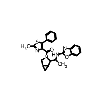 Cc1nc(C(=O)N2CC3CC3C2C(C)Nc2nc3ccccc3o2)c(-c2ccccc2)s1